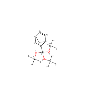 C[Si](C)(C)O[Si](O[Si](C)(C)C)(O[Si](C)(C)C)C1CC2C=CC1C2